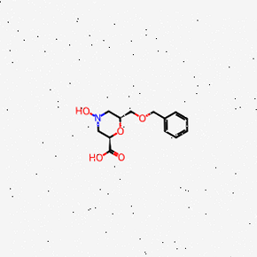 O=C(O)[C@H]1CN(O)C[C@@H](COCc2ccccc2)O1